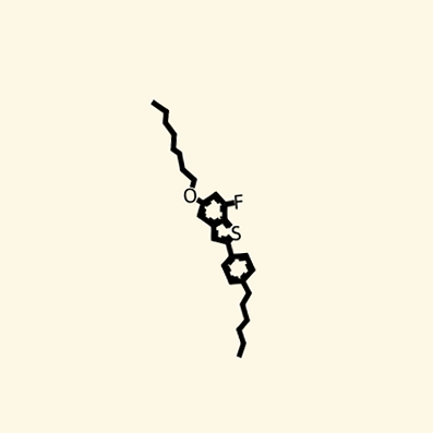 CCCCCCCCOc1cc(F)c2sc(-c3ccc(CCCCCC)cc3)cc2c1